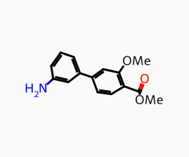 COC(=O)c1ccc(-c2cccc(N)c2)cc1OC